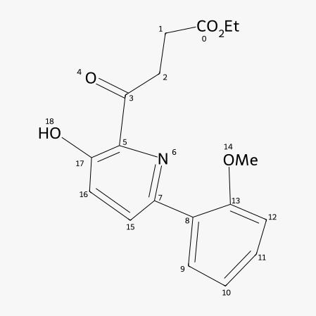 CCOC(=O)CCC(=O)c1nc(-c2ccccc2OC)ccc1O